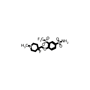 CN1CCC(F)(COc2ccc(S(N)(=O)=O)cc2S(=O)(=O)C(F)(F)F)CC1